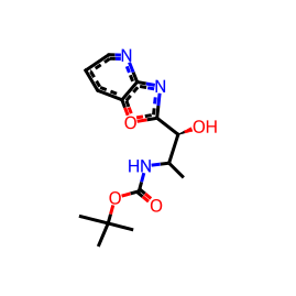 CC(NC(=O)OC(C)(C)C)[C@H](O)c1nc2ncccc2o1